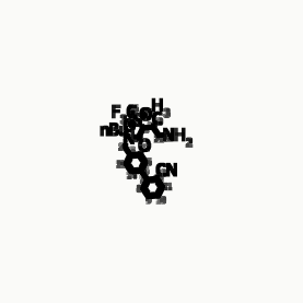 CCCCN(Cc1ccc(-c2ccccc2C#N)cc1)C(=O)C(C(C)CN)S(=O)(=O)C(F)(F)F